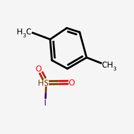 Cc1ccc(C)cc1.O=[SH](=O)I